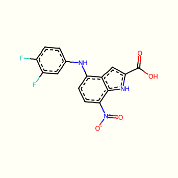 O=C(O)c1cc2c(Nc3ccc(F)c(F)c3)ccc([N+](=O)[O-])c2[nH]1